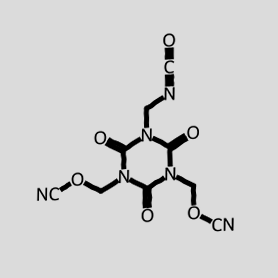 N#COCn1c(=O)n(CN=C=O)c(=O)n(COC#N)c1=O